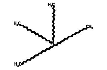 CCCCCCCCC=CCCCCCCCCC(CCCCCCCCC=CCCCCCCCC)N(CCCCCCCCCCCCCCCCCC)CCCCCCCCCCCCCCCCCC